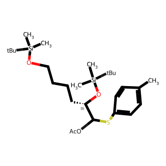 CC(=O)OC(Sc1ccc(C)cc1)[C@H](CCCCO[Si](C)(C)C(C)(C)C)O[Si](C)(C)C(C)(C)C